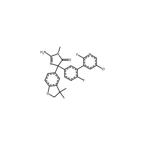 CN1C(=O)C(c2ccc(F)c(-c3cc(Cl)cnc3F)c2)(c2ccc3c(c2)C(C)(C)CO3)N=C1N